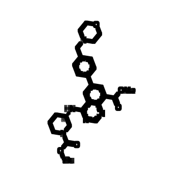 COC(=O)c1cc(-c2ccc(CN3CCOCC3)cc2)cc2c(N[C@H]3CCCN(C(=O)OC(C)(C)C)C3)ncnc12